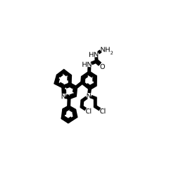 NNC(=O)Nc1ccc(N(CCCl)CCCl)c(-c2cc(-c3ccccc3)nc3ccccc23)c1